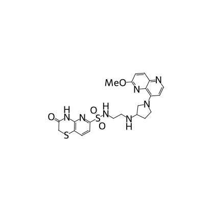 COc1ccc2nccc(N3CCC(NCCNS(=O)(=O)c4ccc5c(n4)NC(=O)CS5)C3)c2n1